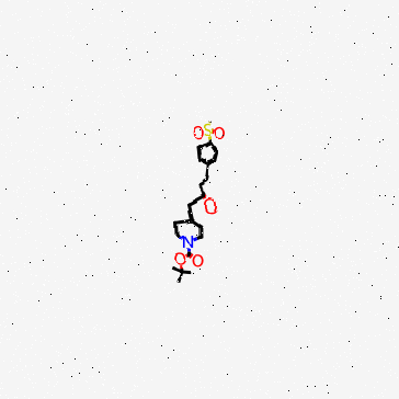 CC(C)(C)OC(=O)N1CCC(CC(=O)CCc2ccc(S(C)(=O)=O)cc2)CC1